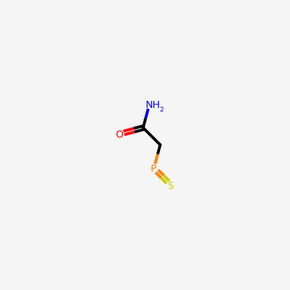 NC(=O)CP=S